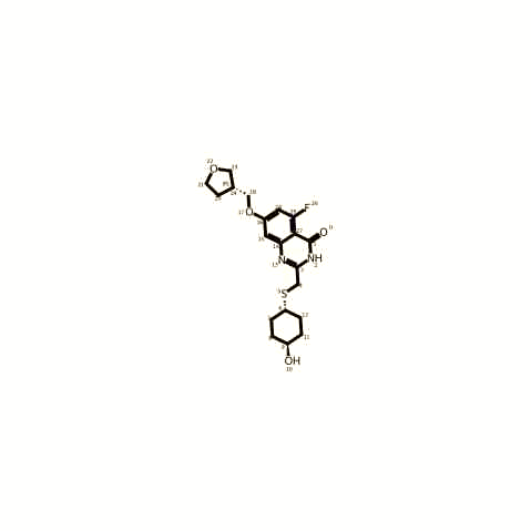 O=c1[nH]c(CS[C@H]2CC[C@H](O)CC2)nc2cc(OC[C@@H]3CCOC3)cc(F)c12